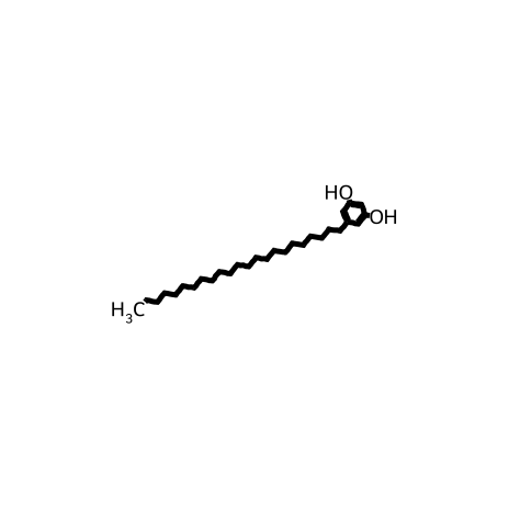 CCCCCCCCCCCCCCCCCCCCCCCc1cc(O)cc(O)c1